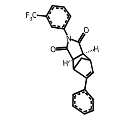 O=C1[C@@H]2C3CC(C=C3c3ccccc3)[C@@H]2C(=O)N1c1cccc(C(F)(F)F)c1